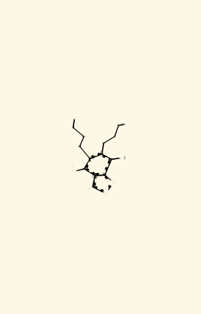 CCCCc1c(CCCC)c(N)c2[nH]ncc2c1N